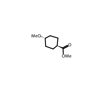 COC(=O)[C@H]1CC[C@H](OC)CC1